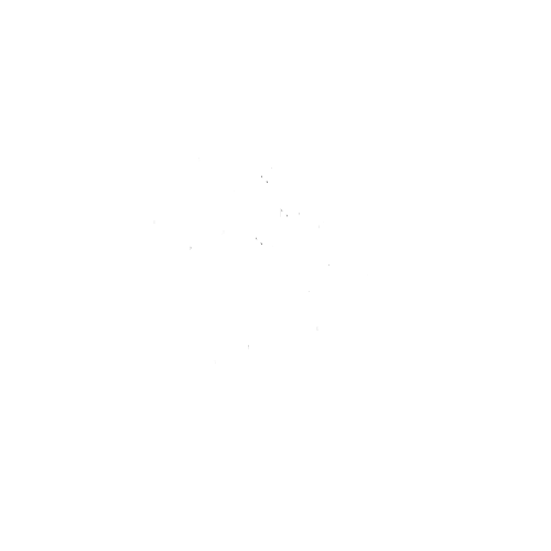 CCC(=O)c1cc(C)c(C)cc1-n1nnc2ccccc21